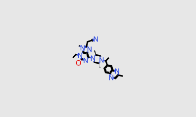 CCn1c(=O)nc(N2C[C@@H](C)N(C(C)c3ccc4ncc(C)nc4c3)C[C@@H]2C)c2nc(CC#N)n(C)c21